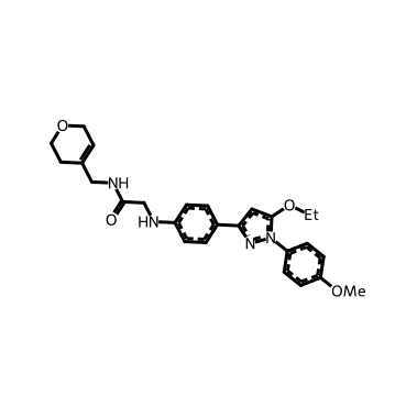 CCOc1cc(-c2ccc(NCC(=O)NCC3=CCOCC3)cc2)nn1-c1ccc(OC)cc1